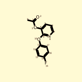 CC(=O)Oc1cccnc1Oc1ccc(F)cc1